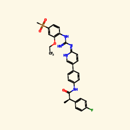 C[C@@H](C(=O)Nc1ccc(-c2cc/c(=N/C(=N)Nc3ccc(S(C)(=O)=O)cc3OCC(F)(F)F)[nH]c2)cc1)c1ccc(F)cc1